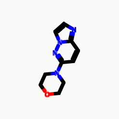 [c]1cn2nc(N3CCOCC3)ccc2n1